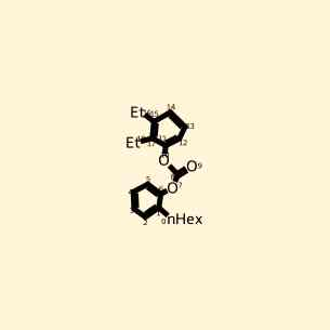 CCCCCCc1ccccc1OC(=O)Oc1cccc(CC)c1CC